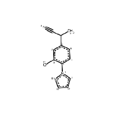 CC(C#N)c1ccc(-n2cccn2)c(Cl)c1